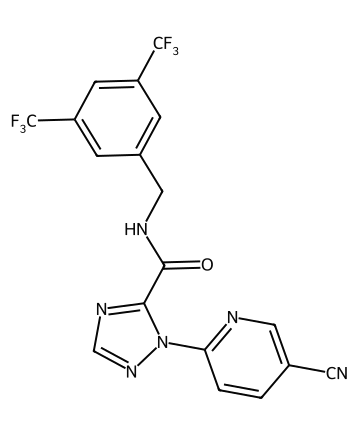 N#Cc1ccc(-n2ncnc2C(=O)NCc2cc(C(F)(F)F)cc(C(F)(F)F)c2)nc1